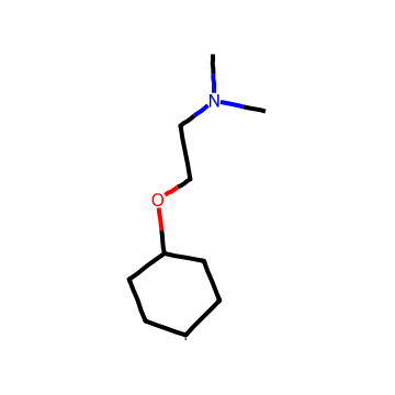 CN(C)CCOC1CC[CH]CC1